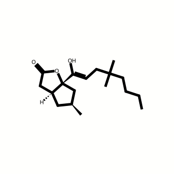 CCCCC(C)(C)CC=C(O)[C@@]12C[C@@H](C)C[C@H]1CC(=O)O2